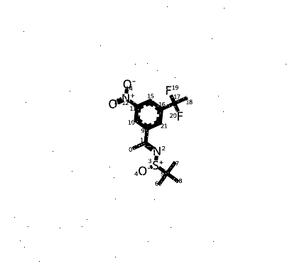 CC(=N[S+]([O-])C(C)(C)C)c1cc([N+](=O)[O-])cc(C(C)(F)F)c1